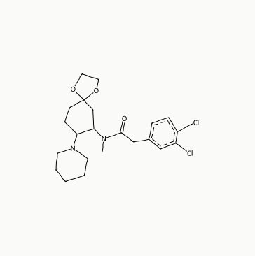 CN(C(=O)Cc1ccc(Cl)c(Cl)c1)C1CC2(CCC1N1CCCCC1)OCCO2